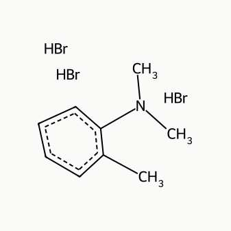 Br.Br.Br.Cc1ccccc1N(C)C